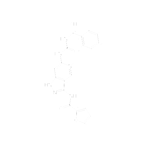 C[C@@H](NC(=O)Nc1cc2[nH]nc(NC(=O)c3ccco3)c2cn1)c1ccccc1